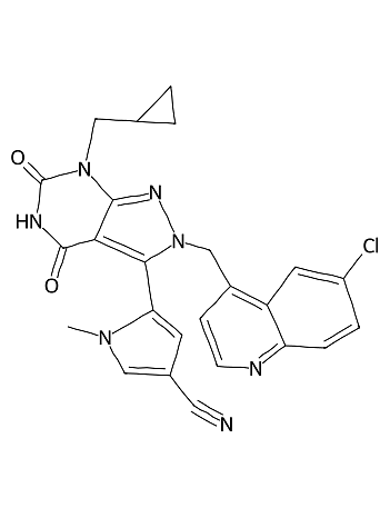 Cn1cc(C#N)cc1-c1c2c(=O)[nH]c(=O)n(CC3CC3)c2nn1Cc1ccnc2ccc(Cl)cc12